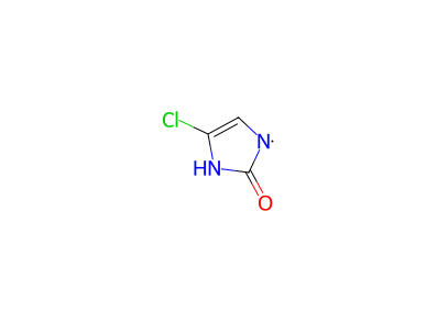 O=C1[N]C=C(Cl)N1